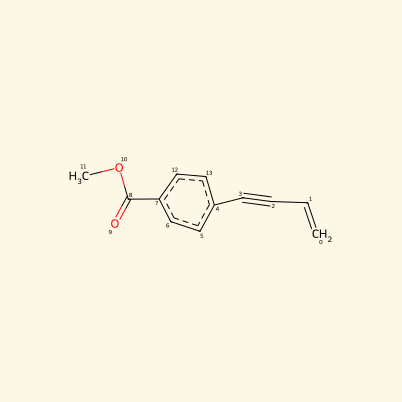 C=CC#Cc1ccc(C(=O)OC)cc1